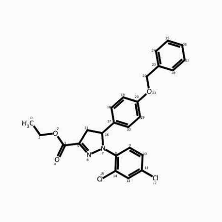 CCOC(=O)C1=NN(c2ccc(Cl)cc2Cl)C(c2ccc(OCc3ccccc3)cc2)C1